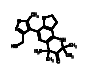 Cc1onc(CO)c1-c1cc2c(c3c1OCC3)NC(C)(C)C(=O)C2(C)C